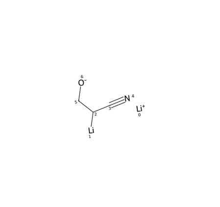 [Li+].[Li][CH](C#N)C[O-]